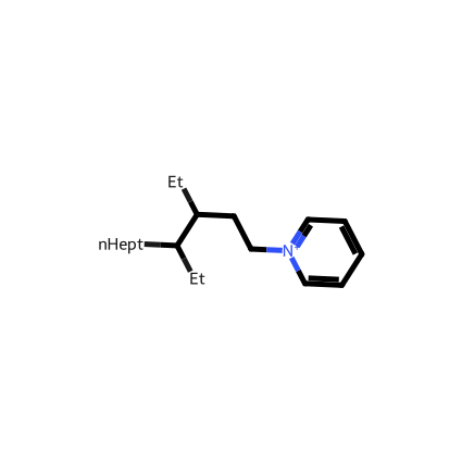 CCCCCCCC(CC)C(CC)CC[n+]1ccccc1